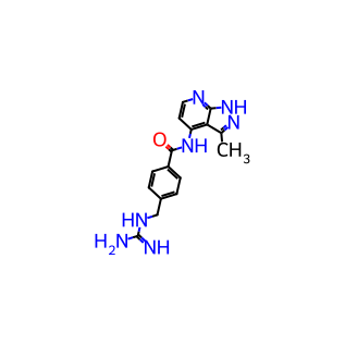 Cc1n[nH]c2nccc(NC(=O)c3ccc(CNC(=N)N)cc3)c12